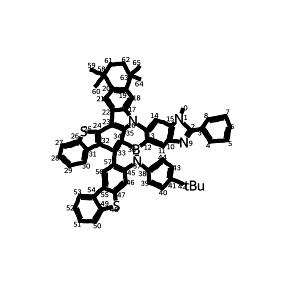 Cn1c(-c2ccccc2)nc2cc3c(cc21)-n1c2cc4c(cc2c2c5sc6ccccc6c5c5c(c21)B3N(c1ccc(C(C)(C)C)cc1)c1cc2sc3ccccc3c2cc1-5)C(C)(C)CCC4(C)C